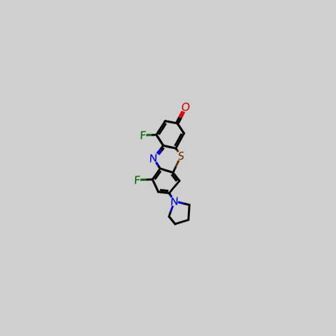 O=c1cc2sc3cc(N4CCCC4)cc(F)c3nc-2c(F)c1